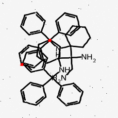 NCC(N)(C1(NC(c2ccccc2)(c2ccccc2)c2ccccc2)CCCCC1)C1(NC(c2ccccc2)(c2ccccc2)c2ccccc2)CCCCC1